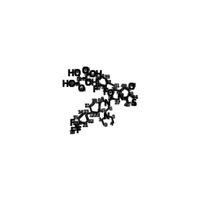 CCN(CC)CCN(Cc1ccc(-c2ccc(C(F)(F)F)cc2)cc1)C(=O)Cn1c(CCc2cccc(F)c2F)cc(=O)c2cscc21.O=C(O)C(O)C(O)C(=O)O